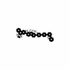 CC1(C)c2cc(-c3ccc(-c4ccc(-c5cccc6c5sc5ccccc56)cc4)cc3)ccc2-c2ccc(-c3ccc4c5ccccc5c5nccnc5c4c3)cc21